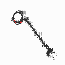 CO[C@H]1C[C@@H]2CC[C@@H](C)[C@@](O)(O2)C(=O)C(=O)N2CCCC[C@H]2C(=O)O[C@H]([C@H](C)C[C@@H]2CC[C@@H](OC(=O)NCCOCCOCCOCCOCCC(=O)NCCOCCOCCOCCOCCC(=O)N3CCc4cc(Cn5nc(-c6ccc7oc(N)nc7c6)c6c(N)ncnc65)ccc4C3)[C@H](OC)C2)C[C@@H](O)[C@H](C)/C=C(\C)[C@@H](O)[C@@H](O)C(=O)[C@H](C)C[C@H](C)/C=C/C=C/C=C/1C